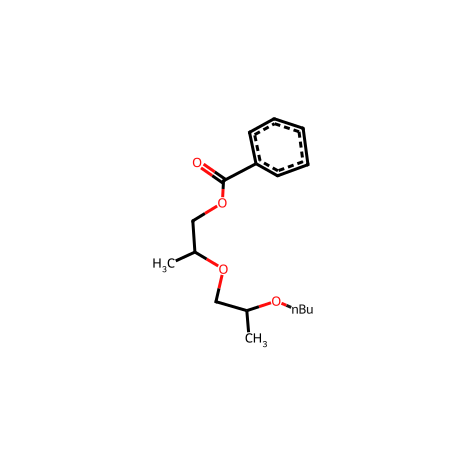 CCCCOC(C)COC(C)COC(=O)c1ccccc1